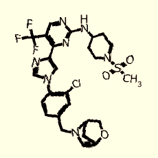 CS(=O)(=O)N1CCC(Nc2ncc(C(F)(F)F)c(-c3cn(-c4ccc(CN5C=C6CC5CO6)cc4Cl)cn3)n2)CC1